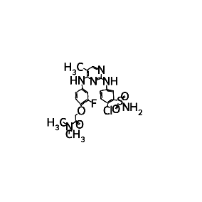 Cc1cnc(Nc2ccc(Cl)c(S(N)(=O)=O)c2)nc1Nc1ccc(OCC(=O)N(C)C)c(F)c1